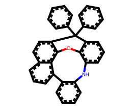 c1ccc(C2(c3ccccc3)c3cccc4c3Oc3c2ccc2cccc(c32)-c2ccccc2N4)cc1